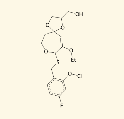 CCOC1=CC2(CCOC1SCc1ccc(F)cc1OCl)OCC(CO)O2